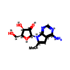 COc1cc2c(N)ncnc2n1[C@@H]1O[C@H](CO)[C@H](O)C1=O